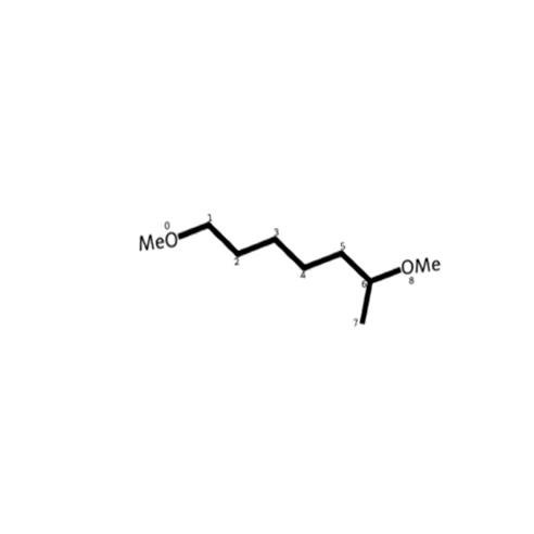 COCCCCCC(C)OC